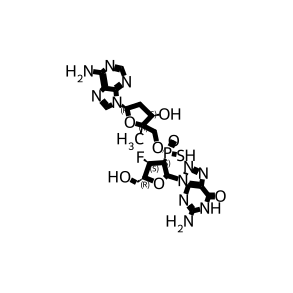 C[C@]1(COP(=O)(S)[C@H]2C(n3nnc4c(=O)[nH]c(N)nc43)O[C@H](CO)[C@@H]2F)O[C@@H](n2cnc3c(N)ncnc32)C[C@@H]1O